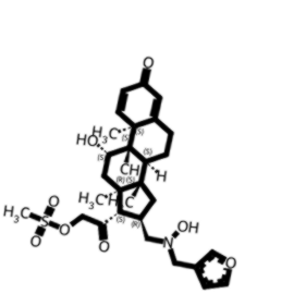 C[C@]12[C@@H](CCC3=CC(=O)C=C[C@@]31C)[C@]1(C)C[C@@H](CN(O)Cc3ccoc3)[C@H](C(=O)COS(C)(=O)=O)[C@@]1(C)C[C@@H]2O